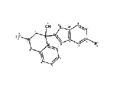 CN1Cc2ccccc2C(O)(c2cc3cc(Br)ccc3s2)C1